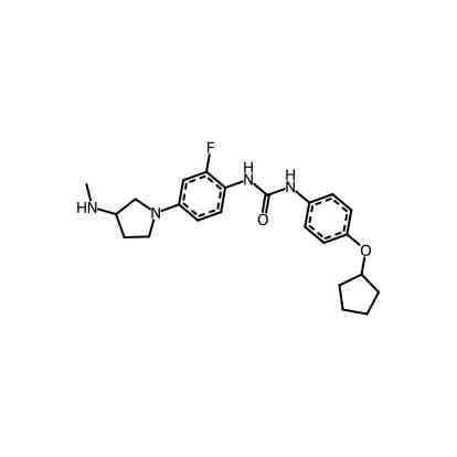 CNC1CCN(c2ccc(NC(=O)Nc3ccc(OC4CCCC4)cc3)c(F)c2)C1